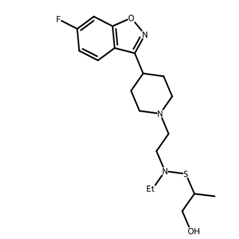 CCN(CCN1CCC(c2noc3cc(F)ccc23)CC1)SC(C)CO